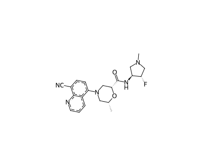 C[C@@H]1CN(c2ccc(C#N)c3ncccc23)C[C@H](C(=O)N[C@H]2CN(C)C[C@@H]2F)O1